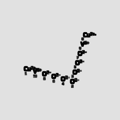 [Cu+2].[Cu+2].[O-2].[O-2].[O-2].[O-2].[O-2].[O-2].[O-2].[V+5].[V+5]